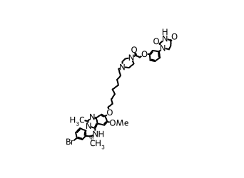 COc1cc2c(N[C@H](C)c3cccc(Br)c3)nc(C)nc2cc1OCCCCCCCCCN1CCN(C(=O)COc2cccc(N3CCC(=O)NC3=O)c2)CC1